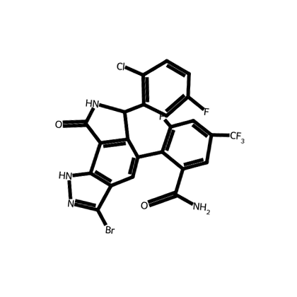 NC(=O)c1cc(C(F)(F)F)cc(F)c1-c1cc2c(Br)n[nH]c2c2c1C(c1cc(F)ccc1Cl)NC2=O